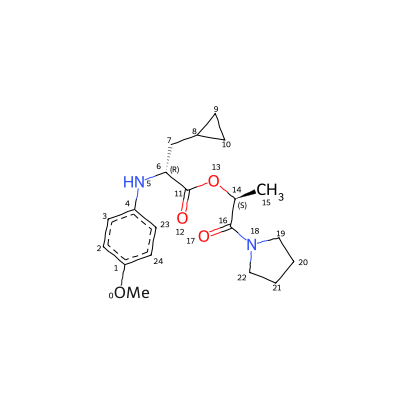 COc1ccc(N[C@H](CC2CC2)C(=O)O[C@@H](C)C(=O)N2CCCC2)cc1